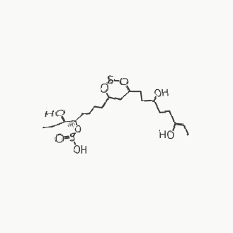 CCC(O)CCC(O)CCC1CC(CCCC[C@@H](OS(=O)O)C(O)CC)OSO1